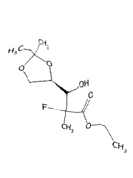 CCOC(=O)C(C)(F)C(O)[C@H]1COC(C)(C)O1